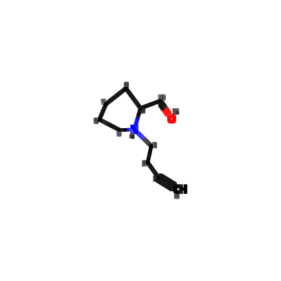 C#CCCN1CCCCC1C=O